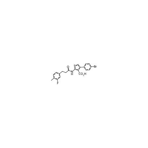 Cc1ccc(CCC(=O)Nc2scc(-c3ccc(Br)cc3)c2C(=O)O)cc1F